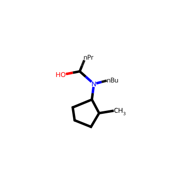 CCCCN(C(O)CCC)C1CCCC1C